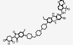 CCc1cc(Nc2ncc(Br)c(Nc3ccc4nccnc4c3P(C)(C)=O)n2)c(OC)cc1N1CCC(N2CCN(CC3CCN(c4cc5c(cc4F)C(=O)N(C4CCC(=O)NC4=O)C5=O)CC3)CC2)CC1